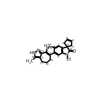 CCCC1=C(c2cc3c(cc2C)C2(CC=CC2)C(=O)N3CC)CCCc2c1n[nH]c2C